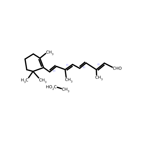 CC(=O)O.CC1=C(/C=C/C(C)=C/C=C/C(C)=C/C=O)C(C)(C)CCC1